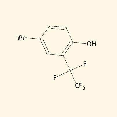 CC(C)c1ccc(O)c(C(F)(F)C(F)(F)F)c1